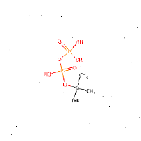 CC(C)(C)[Si](C)(C)OP(=O)(O)OP(=O)(O)O